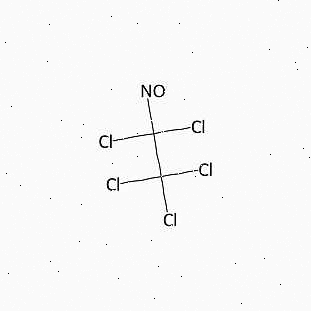 O=NC(Cl)(Cl)C(Cl)(Cl)Cl